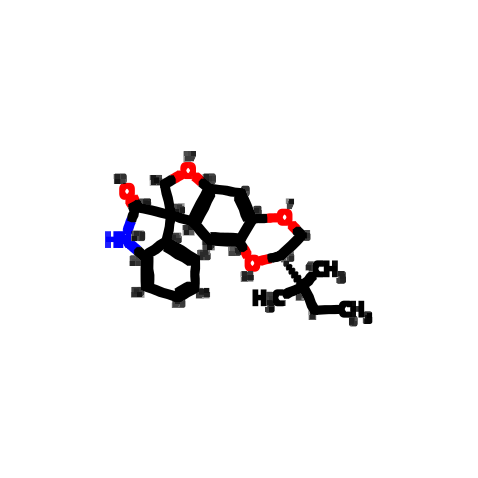 CCC(C)(C)[C@H]1COc2cc3c(cc2O1)C1(CO3)C(=O)Nc2ccccc21